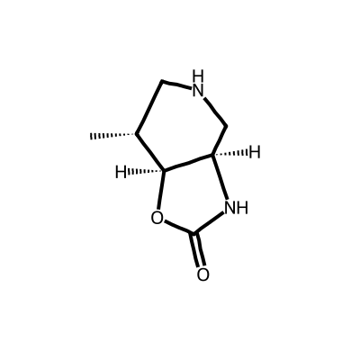 C[C@@H]1CNC[C@H]2NC(=O)O[C@@H]12